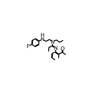 C\C=C/C(/N=C(\CC)N(CCC)CCNc1ccc(F)cc1)=C(\C)C(C)=O